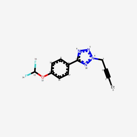 CCC#CCn1nnc(-c2ccc(OC(F)F)cc2)n1